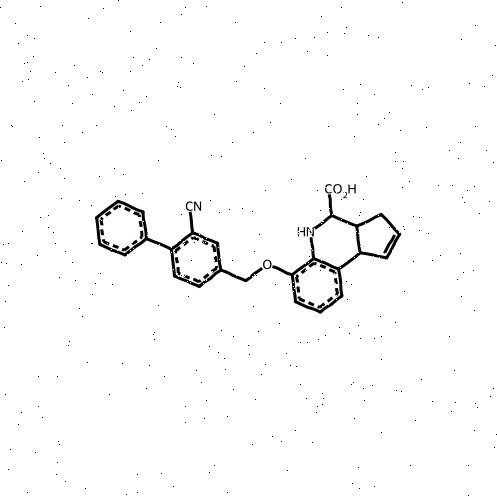 N#Cc1cc(COc2cccc3c2NC(C(=O)O)C2CC=CC32)ccc1-c1ccccc1